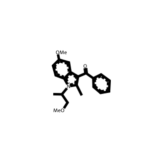 COCC(C)n1c(C)c(C(=O)c2ccccc2)c2cc(OC)ccc21